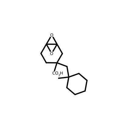 CC1(CC2(C(=O)O)CCC34OC3(C2)O4)CCCCC1